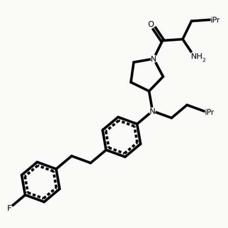 CC(C)CCN(c1ccc(CCc2ccc(F)cc2)cc1)C1CCN(C(=O)C(N)CC(C)C)C1